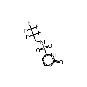 O=c1cccc(S(=O)(=O)NCC(F)(F)C(F)(F)F)[nH]1